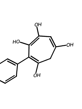 OC1=CC(O)=C(O)C(c2ccccc2)=C(O)C1